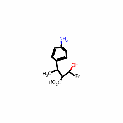 CC(C)C(O)C(C(=O)O)C(C)c1ccc(N)cc1